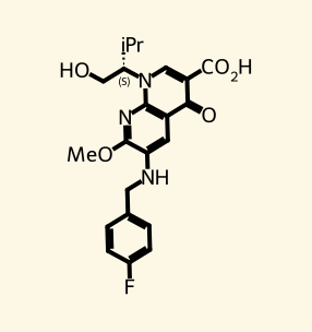 COc1nc2c(cc1NCc1ccc(F)cc1)c(=O)c(C(=O)O)cn2[C@H](CO)C(C)C